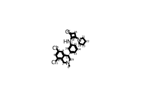 CN1Cc2c(Cl)cc(Cl)cc2[C@H](c2cccc(NC3=C(N4CCCC4)CC3=O)c2)C1